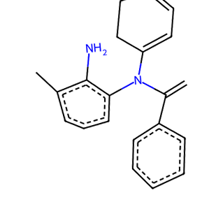 C=C(c1ccccc1)N(C1=CC=CCC1)c1cccc(C)c1N